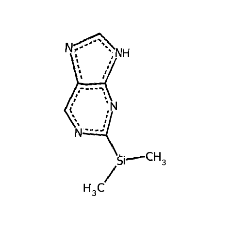 C[Si](C)c1ncc2nc[nH]c2n1